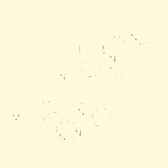 COc1cc2ncnc(Nc3ccc(Cl)c(Cl)c3F)c2cc1OC1CCN(Cc2ccc3c(c2F)C(=O)N(C2CCC(=O)NC2=O)C3=O)CC1